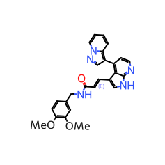 COc1ccc(CNC(=O)/C=C/c2c[nH]c3nccc(-c4cnn5ccccc45)c23)cc1OC